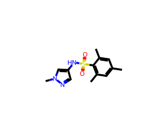 Cc1cc(C)c(S(=O)(=O)Nc2cnn(C)c2)c(C)c1